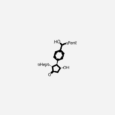 CCCCCCC[C@H]1C(=O)C[C@@H](O)[C@@H]1c1ccc(C(O)CCCCC)cc1